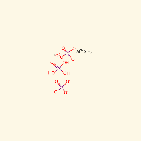 O=P(O)(O)O.O=P([O-])([O-])O.O=P([O-])([O-])[O-].[Al+3].[O+2].[SiH4]